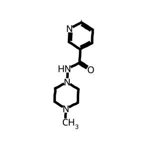 CN1CCN(NC(=O)c2cc[c]nc2)CC1